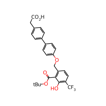 CC(C)(C)OC(=O)c1c(COc2ccc(-c3ccc(CC(=O)O)cc3)cc2)ccc(C(F)(F)F)c1O